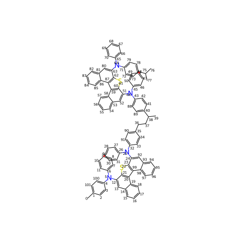 Cc1ccc(N(c2ccccc2)c2cc3ccccc3c3c2sc2c(N(c4ccccc4)c4ccc(CCC(C)c5ccc(N(c6ccccc6)c6cc7ccccc7c7c6sc6c(N(c8ccccc8)c8ccc(C(C)C)cc8)cc8ccccc8c67)cc5)cc4)cc4ccccc4c23)cc1